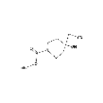 CCCCOC(=O)N1CCC(O)(CC#N)CC1